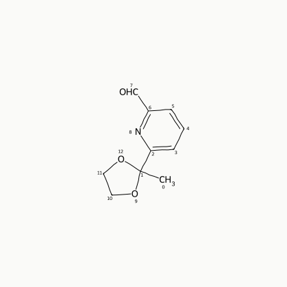 CC1(c2cccc(C=O)n2)OCCO1